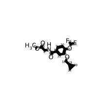 COC(=O)CNC(=O)c1ccc(OC(F)F)c(OCC2CC2)c1